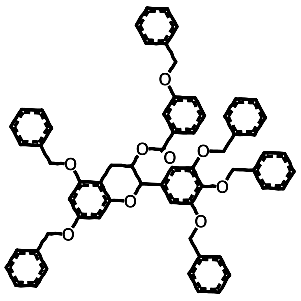 O=C(OC1Cc2c(OCc3ccccc3)cc(OCc3ccccc3)cc2OC1c1cc(OCc2ccccc2)c(OCc2ccccc2)c(OCc2ccccc2)c1)c1cccc(OCc2ccccc2)c1